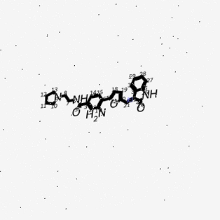 Nc1cc(C(=O)NCCN2CCCC2)ccc1-c1ccc(/C=C2/C(=O)Nc3ccccc32)o1